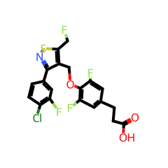 O=C(O)CCc1cc(F)c(OCc2c(-c3ccc(Cl)c(F)c3)nsc2CF)c(F)c1